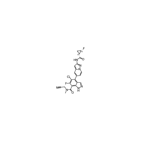 CN(CC#N)C(=O)c1c(F)c(Cl)c(-c2ccn3nc(NC(=O)[C@@H]4C[C@@H]4F)cc3c2)c2cn[nH]c12